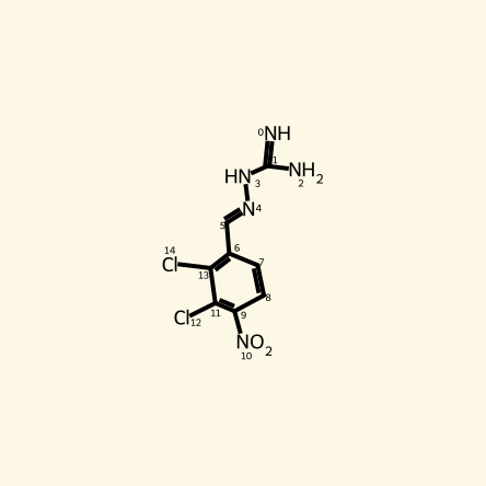 N=C(N)NN=Cc1ccc([N+](=O)[O-])c(Cl)c1Cl